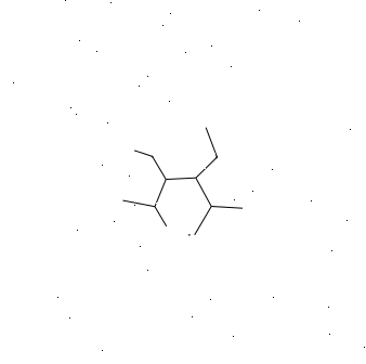 [CH2]C(C)C(CC)C(CC)C(C)C